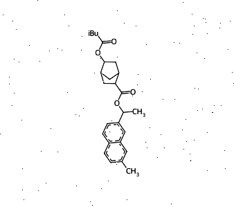 CCC(C)C(=O)OC1CC2CC1CC2C(=O)OC(C)c1ccc2ccc(C)cc2c1